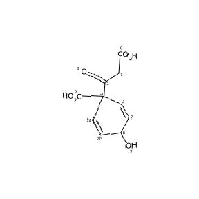 O=C(O)CC(=O)C1(C(=O)O)C=CC(O)C=C1